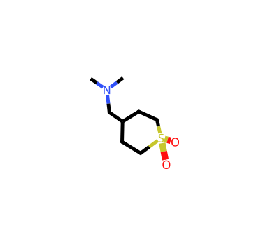 CN(C)CC1CCS(=O)(=O)CC1